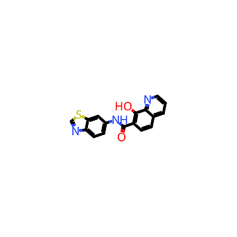 O=C(Nc1ccc2ncsc2c1)c1ccc2cccnc2c1O